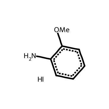 COc1ccccc1N.I